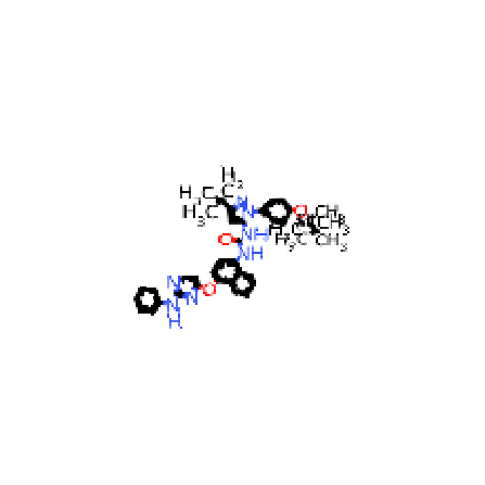 CC(C)(C)c1cc(NC(=O)Nc2ccc(Oc3ccnc(Nc4ccccc4)n3)c3ccccc23)n(-c2ccc(O[Si](C)(C)C(C)(C)C)cc2)n1